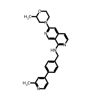 Cc1cc(-c2ccc(CNc3nccc4cc(N5CCOC(C)C5)ncc34)cc2)ccn1